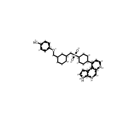 N#Cc1ccc(OCC2CCCC(CS(=O)(=O)C3CCC(c4ccnc5cnc6[nH]ccc6c45)CC3)C2)cc1